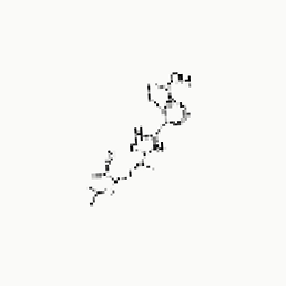 C=C(C#N)/C(=C\C=C(/C)c1nc(-c2cccc3c2CCC3O)no1)OC(C)C